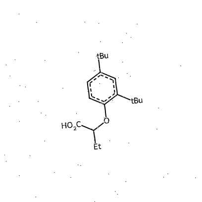 CCC(Oc1ccc(C(C)(C)C)cc1C(C)(C)C)C(=O)O